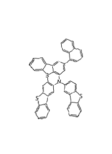 c1ccc2c(c1)B1c3cc4sc5ccccc5c4cc3N(c3ccc4sc5ccccc5c4c3)c3cc(-c4cccc5ccccc45)cc-2c31